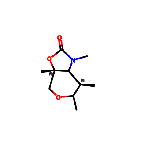 CC1OC[C@]2(C)OC(=O)N(C)C2[C@H]1C